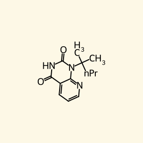 CCCC(C)(C)n1c(=O)[nH]c(=O)c2cccnc21